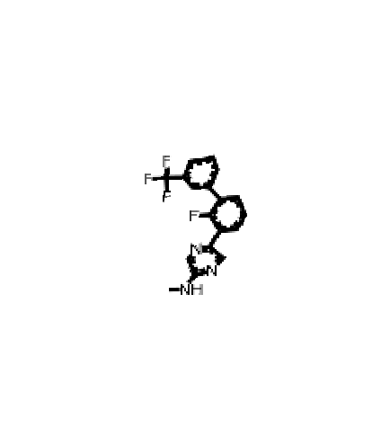 CNc1cnc(-c2cccc(-c3cccc(C(F)(F)F)c3)c2F)cn1